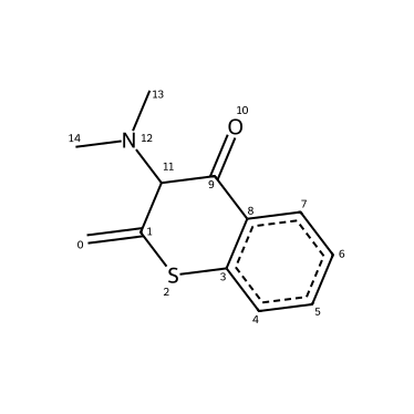 C=C1Sc2ccccc2C(=O)C1N(C)C